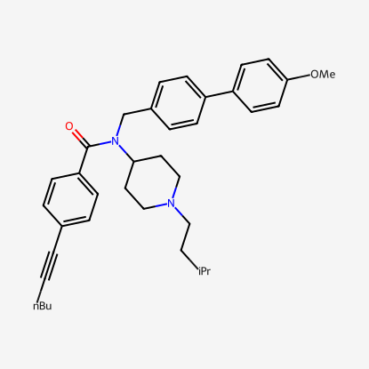 CCCCC#Cc1ccc(C(=O)N(Cc2ccc(-c3ccc(OC)cc3)cc2)C2CCN(CCC(C)C)CC2)cc1